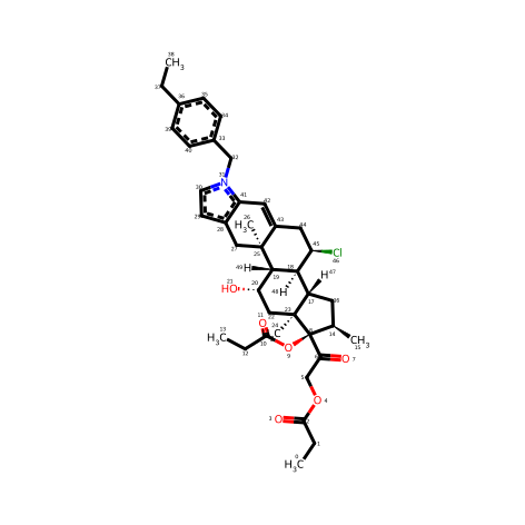 CCC(=O)OCC(=O)[C@@]1(OC(=O)CC)[C@H](C)C[C@H]2[C@H]3[C@H]([C@@H](O)C[C@@]21C)[C@@]1(C)Cc2ccn(Cc4ccc(CC)cc4)c2C=C1C[C@H]3Cl